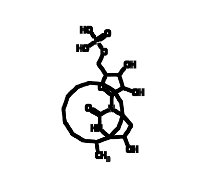 CC1CCCCCCCCCCC23CC(O)C1(C2)NC(=O)N3C1OC(COP(=O)(O)O)C(O)C1O